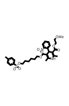 COCCOC(=O)C1=C(C)NC(C)=C(C(=O)OCCCCCCOS(=O)(=O)c2ccc(C)cc2)C1c1ccccc1[N+](=O)[O-]